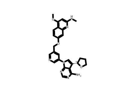 CNc1cc(OC)c2ccc(OCc3cncc(-n4cc([C@@H]5CCCO5)c5c(N)ncnc54)c3)cc2n1